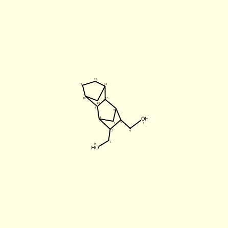 OCC1C(CO)C2CC1C1C3CCC(C3)C21